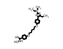 CCc1sc(N(CC)CC)nc1-c1ccc(OCCCCCOc2ccc(C(=N)NO)cc2)cc1